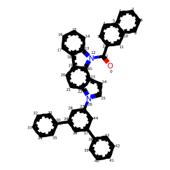 O=C(c1ccc2ccccc2c1)n1c2ccccc2c2ccc3c(ccn3-c3cc(-c4ccccc4)cc(-c4ccccc4)c3)c21